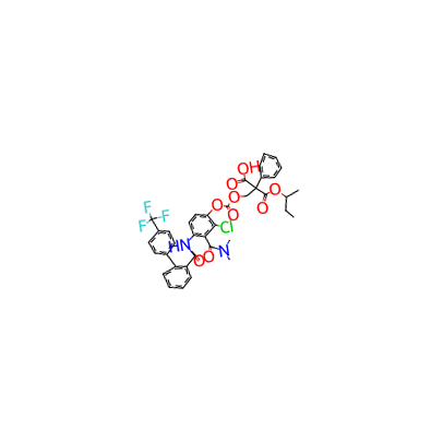 CCC(C)OC(=O)C(COC(=O)Oc1ccc(NC(=O)c2ccccc2-c2ccc(C(F)(F)F)cc2)c(C(=O)N(C)C)c1Cl)(C(=O)O)c1ccccc1